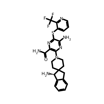 NC(=O)c1nc(Sc2cccnc2C(F)(F)F)c(N)nc1N1CCC2(CC1)Cc1ccccc1[C@H]2N